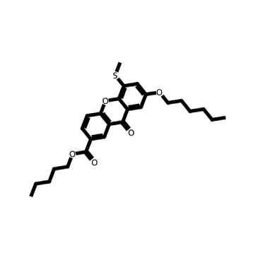 CCCCCCOc1cc(SC)c2oc3ccc(C(=O)OCCCCC)cc3c(=O)c2c1